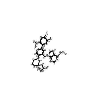 Nc1ncnc2c1ncn2Cc1cc(-c2cc(F)c(F)cc2C(F)F)ncc1N1CCC[C@](N)(CC(F)F)C1